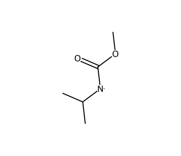 COC(=O)[N]C(C)C